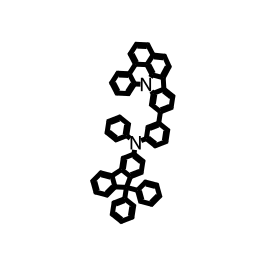 c1ccc(N(c2cccc(-c3ccc4c5ccc6cccc7c8ccccc8n(c4c3)c5c67)c2)c2ccc3c(c2)-c2ccccc2C3(c2ccccc2)c2ccccc2)cc1